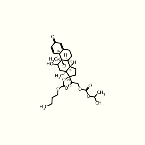 CCCCOC(=O)O[C@]1(C(=O)COC(=O)OC(C)C)CC[C@H]2[C@@H]3CCC4=CC(=O)C=C[C@]4(C)[C@@]3(Cl)C(O)C[C@@]21C